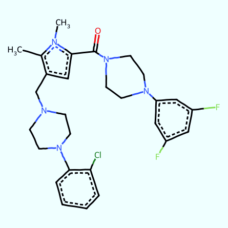 Cc1c(CN2CCN(c3ccccc3Cl)CC2)cc(C(=O)N2CCN(c3cc(F)cc(F)c3)CC2)n1C